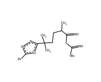 CC(CCC(C)(C)c1nnc(C(C)C)o1)C(=N)SC(=N)C(C)(C)C